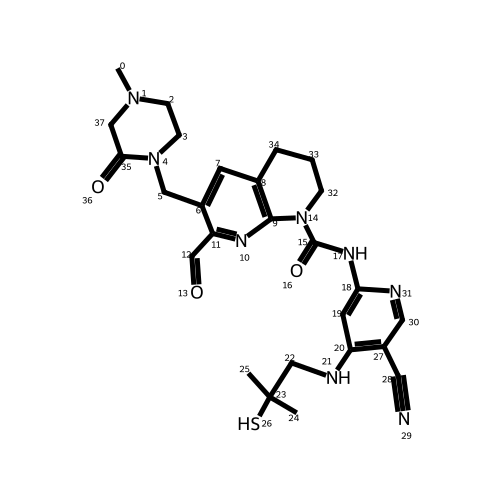 CN1CCN(Cc2cc3c(nc2C=O)N(C(=O)Nc2cc(NCC(C)(C)S)c(C#N)cn2)CCC3)C(=O)C1